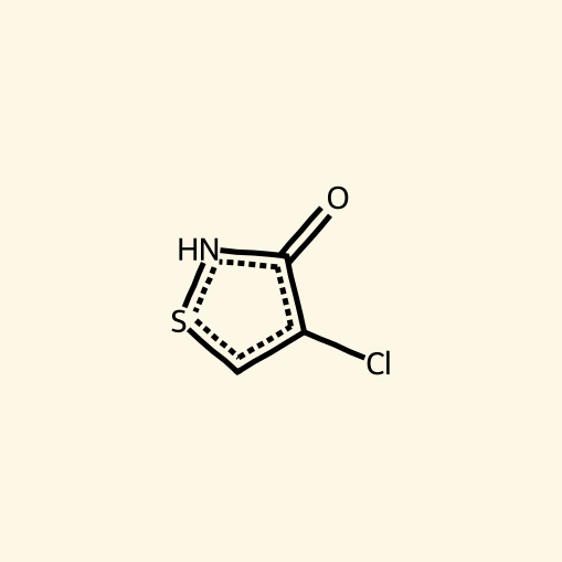 O=c1[nH]scc1Cl